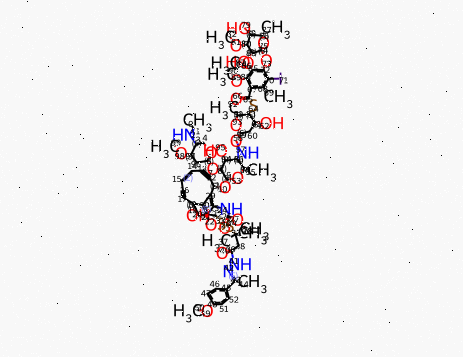 CCN[C@H]1CO[C@@H](O[C@H]2[C@H](O[C@H]3C#C/C=C\C#C[C@]4(O)CC(=O)C(NC(=O)OC)=C3/C4=C\CSSC(C)(C)CC(=O)N/N=C(\C)c3ccc(OC)cc3)O[C@H](C)[C@@H](NO[C@H]3C[C@H](O)[C@H](SC(=O)c4c(C)c(I)c(O[C@@H]5O[C@@H](C)[C@H](O)[C@@H](OC)[C@H]5O)c(OC)c4OC)[C@@H](C)O3)[C@H]2O)C[C@@H]1OC